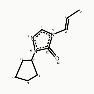 C/C=C/n1cnn(C2CCCC2)c1=O